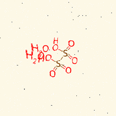 O.O.O=S(=O)(O)S(=O)(=O)O